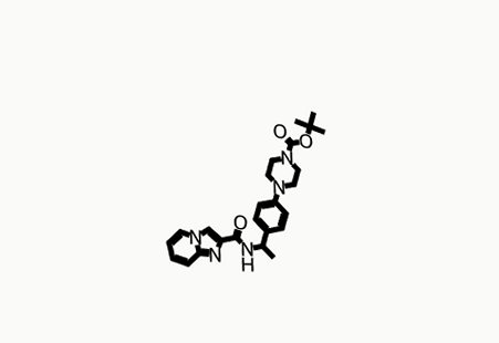 CC(NC(=O)c1cn2ccccc2n1)c1ccc(N2CCN(C(=O)OC(C)(C)C)CC2)cc1